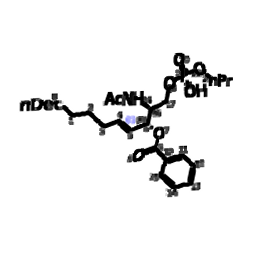 CCCCCCCCCCCCC/C=C/[C@@H](OC(=O)c1ccccc1)[C@H](COP(=O)(O)OCCC)NC(C)=O